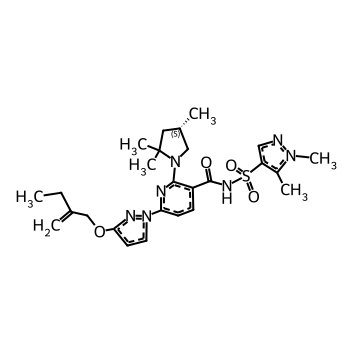 C=C(CC)COc1ccn(-c2ccc(C(=O)NS(=O)(=O)c3cnn(C)c3C)c(N3C[C@@H](C)CC3(C)C)n2)n1